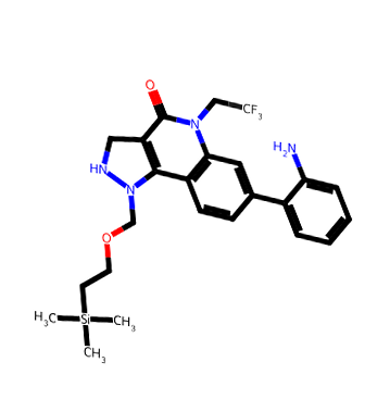 C[Si](C)(C)CCOCN1NCc2c1c1ccc(-c3ccccc3N)cc1n(CC(F)(F)F)c2=O